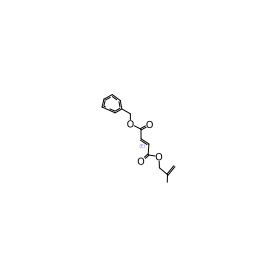 C=C(C)COC(=O)/C=C/C(=O)OCc1ccccc1